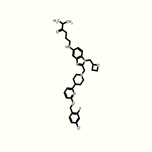 CC(C)C(=O)CCCNc1ccc2c(c1)nc(CN1CCC(c3cccc(OCc4ccc(Cl)cc4F)n3)CC1)n2CC1CCO1